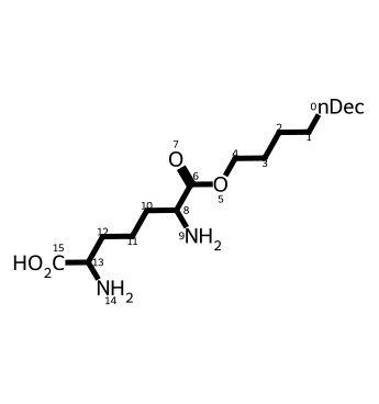 CCCCCCCCCCCCCCOC(=O)C(N)CCCC(N)C(=O)O